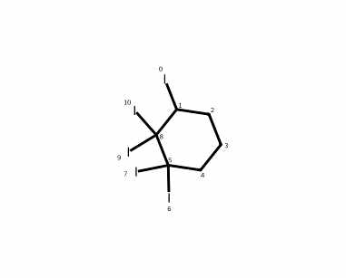 I[C]1CCCC(I)(I)C1(I)I